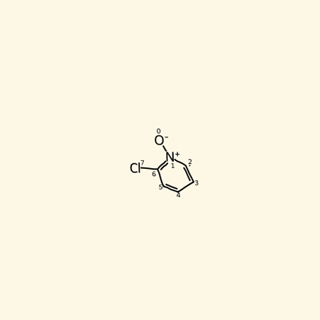 [O-][n+]1[c]cccc1Cl